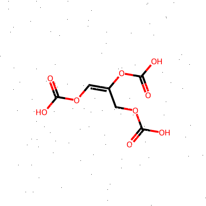 O=C(O)O/C=C(\COC(=O)O)OC(=O)O